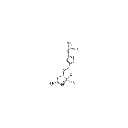 CS(=O)(=O)C(CC(=N)N)SCc1csc(N=C(N)N)n1